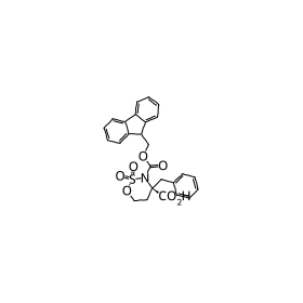 O=C(OCC1c2ccccc2-c2ccccc21)N1[C@@](Cc2ccccc2)(C(=O)O)CCOS1(=O)=O